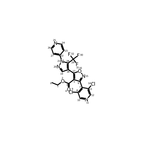 CCOC(=O)c1c(-c2c(Cl)cncc2Cl)noc1-c1cnn(-c2ccncc2)c1C(F)(F)F